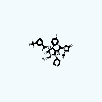 CCN1C(=O)[C@@H](NC(=O)c2cccc(C(F)(F)F)c2)[C@@H](c2ccc(F)cc2)c2c(C(=O)N3CC(=O)C[C@H]3C#N)nn(C3CCOCC3)c21